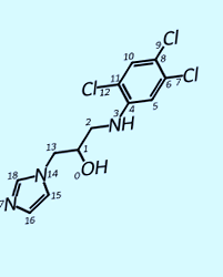 OC(CNc1cc(Cl)c(Cl)cc1Cl)Cn1ccnc1